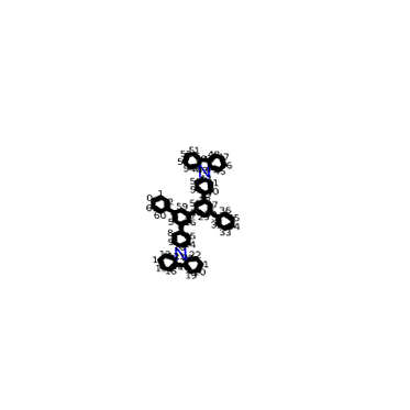 c1ccc(-c2cc(-c3ccc(-n4c5ccccc5c5ccccc54)cc3)cc(-c3cc(-c4ccccc4)cc(-c4ccc(-n5c6ccccc6c6ccccc65)cc4)c3)c2)cc1